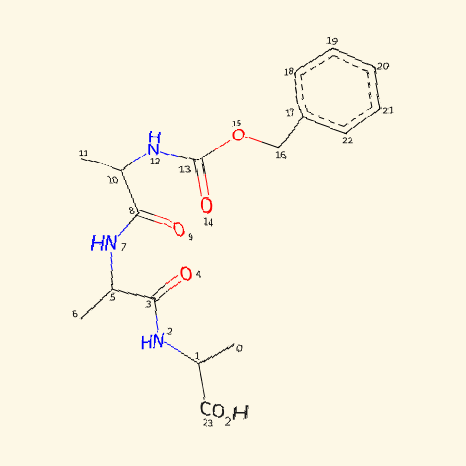 CC(NC(=O)C(C)NC(=O)C(C)NC(=O)OCc1ccccc1)C(=O)O